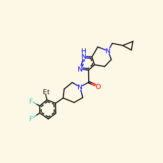 CCc1c(C2CCN(C(=O)c3n[nH]c4c3CCN(CC3CC3)C4)CC2)ccc(F)c1F